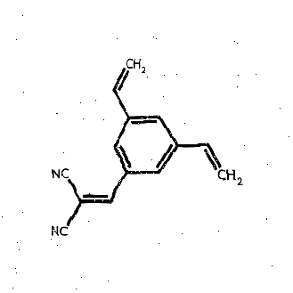 C=Cc1cc(C=C)cc(C=C(C#N)C#N)c1